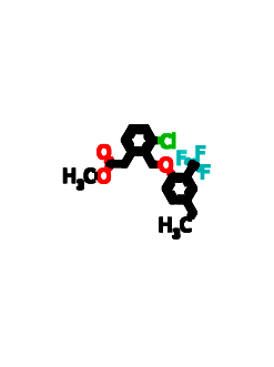 CCc1ccc(OCc2c(Cl)cccc2CC(=O)OC)c(C(F)(F)F)c1